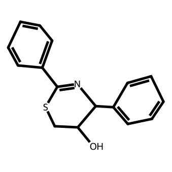 OC1CSC(c2ccccc2)=NC1c1ccccc1